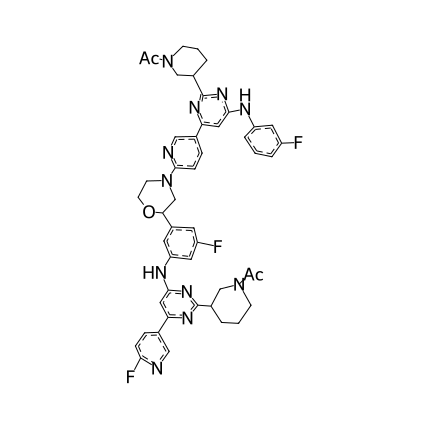 CC(=O)N1CCCC(c2nc(Nc3cc(F)cc(C4CN(c5ccc(-c6cc(Nc7cccc(F)c7)nc(C7CCCN(C(C)=O)C7)n6)cn5)CCO4)c3)cc(-c3ccc(F)nc3)n2)C1